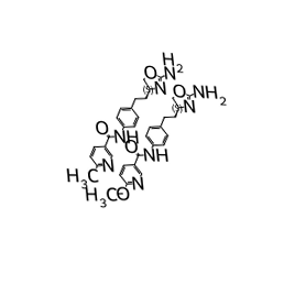 COc1ccc(C(=O)Nc2ccc(CC[C@H]3COC(N)=N3)cc2)cn1.Cc1ccc(C(=O)Nc2ccc(CC[C@H]3COC(N)=N3)cc2)cn1